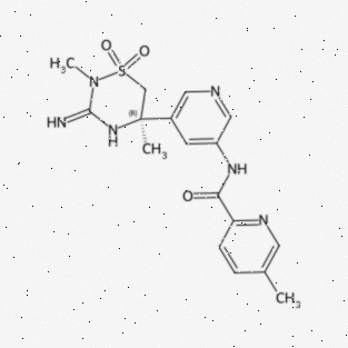 Cc1ccc(C(=O)Nc2cncc([C@]3(C)CS(=O)(=O)N(C)C(=N)N3)c2)nc1